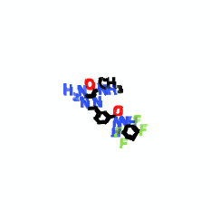 CNC(=O)c1nc(-c2cccc(C(=O)NNc3c(F)c(F)cc(F)c3F)c2)cnc1N